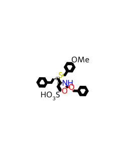 COc1ccc(CS[C@@H](CCc2ccccc2)[C@@H](C=CS(=O)(=O)O)NC(=O)OCc2ccccc2)cc1